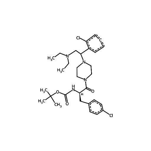 CCN(CC)CC(c1ccccc1Cl)N1CCN(C(=O)[C@@H](Cc2ccc(Cl)cc2)NC(=O)OC(C)(C)C)CC1